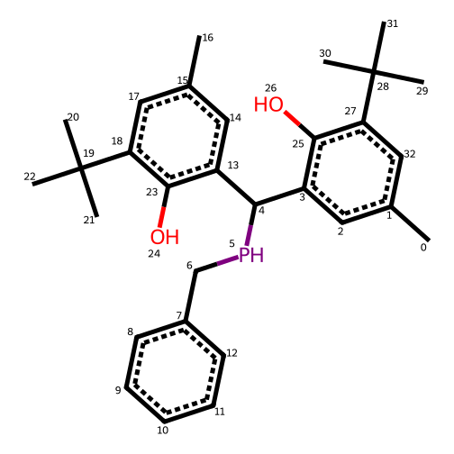 Cc1cc(C(PCc2ccccc2)c2cc(C)cc(C(C)(C)C)c2O)c(O)c(C(C)(C)C)c1